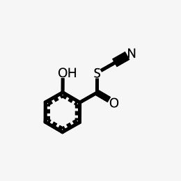 N#CSC(=O)c1ccccc1O